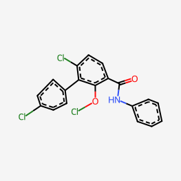 O=C(Nc1ccccc1)c1ccc(Cl)c(-c2ccc(Cl)cc2)c1OCl